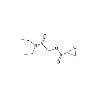 CCN(CC)C(=O)COC(=O)C1CO1